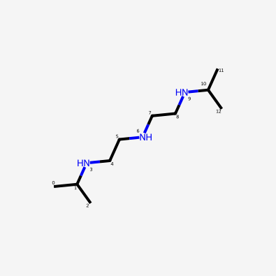 CC(C)NCCNCCNC(C)C